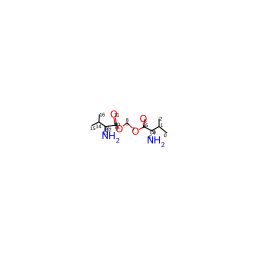 CC(C)[C@H](N)C(=O)O[CH]OC(=O)[C@@H](N)C(C)C